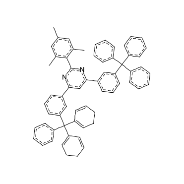 Cc1cc(C)c(-c2nc(-c3cccc(C(C4=CCCC=C4)(C4=CCCC=C4)c4ccccc4)c3)cc(-c3cccc(C(c4ccccc4)(c4ccccc4)c4ccccc4)c3)n2)c(C)c1